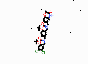 CC1Oc2ccc(CN(Cc3cccc(CN(Cc4ccc(Cl)c(Cl)c4)C(=O)OC(C)(C)C)c3)C(=O)OC(C)(C)C)cc2NC1=O